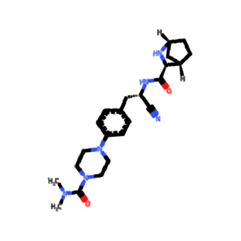 CN(C)C(=O)N1CCN(c2ccc(C[C@@H](C#N)NC(=O)[C@H]3N[C@@H]4CC[C@H]3C4)cc2)CC1